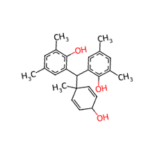 Cc1cc(C)c(O)c(C(c2cc(C)cc(C)c2O)C2(C)C=CC(O)C=C2)c1